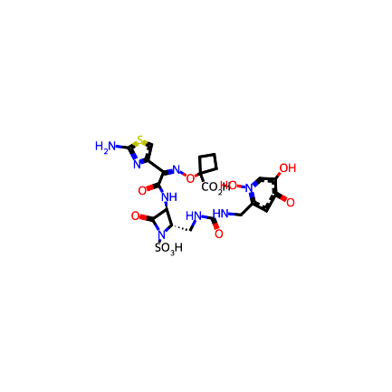 Nc1nc(C(=NOC2(C(=O)O)CCC2)C(=O)N[C@@H]2C(=O)N(S(=O)(=O)O)[C@H]2CNC(=O)NCc2cc(=O)c(O)cn2O)cs1